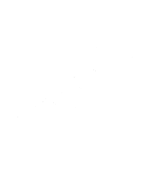 N#CC(c1cccnc1)N1CCN(C(=O)CNC(=O)c2ccccc2)CC1